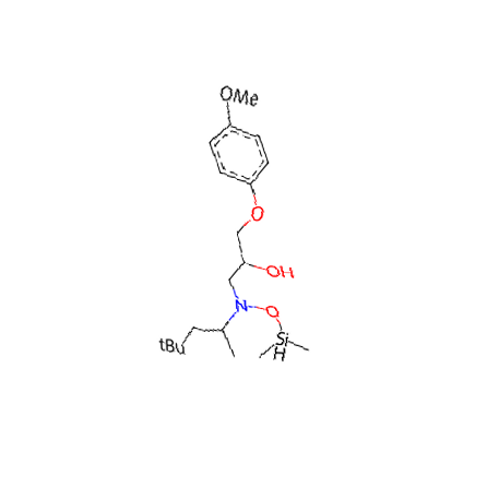 COc1ccc(OCC(O)CN(O[SiH](C)C)C(C)CC(C)(C)C)cc1